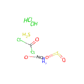 Cl.Cl.N.O=C(Cl)Cl.O=S=O.O=[NH+][O-].S